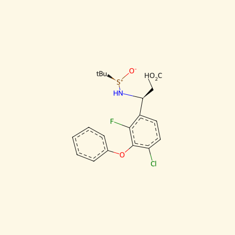 CC(C)(C)[S@@+]([O-])N[C@@H](CC(=O)O)c1ccc(Cl)c(Oc2ccccc2)c1F